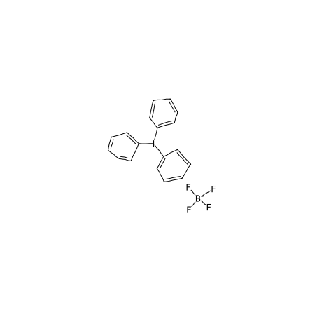 F[B-](F)(F)F.c1ccc(I(c2ccccc2)c2ccccc2)cc1